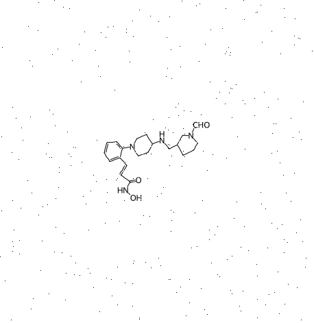 O=CN1CCCC(CNC2CCN(c3ccccc3/C=C/C(=O)NO)CC2)C1